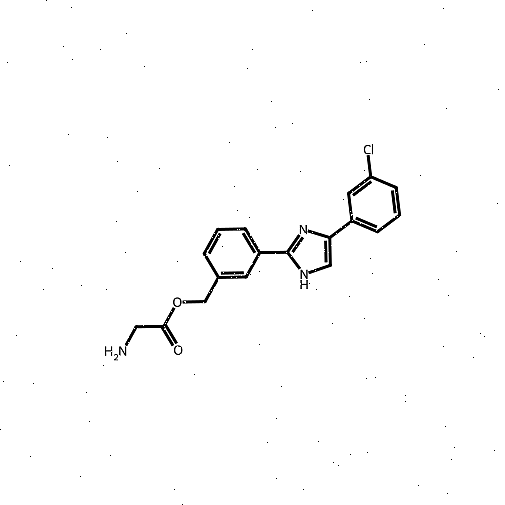 NCC(=O)OCc1cccc(-c2nc(-c3cccc(Cl)c3)c[nH]2)c1